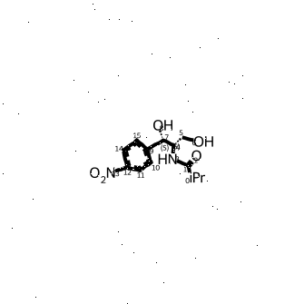 CC(C)C(=O)N[C@@H](CO)[C@@H](O)c1ccc([N+](=O)[O-])cc1